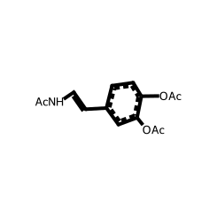 CC(=O)NC=Cc1ccc(OC(C)=O)c(OC(C)=O)c1